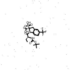 CC[C@H](NC(=O)OC(C)(C)C)C(=O)N1c2ccc(C(F)(F)F)cc2C[C@@]1(C(=O)O)S(=O)(=O)O